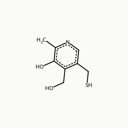 Cc1ncc(CS)c(CO)c1O